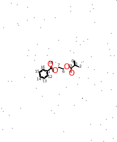 C=C(C)C(=O)OCCOC(=O)c1ccccc1